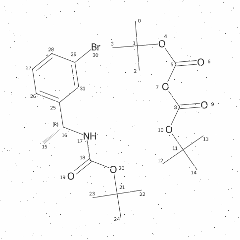 CC(C)(C)OC(=O)OC(=O)OC(C)(C)C.C[C@@H](NC(=O)OC(C)(C)C)c1cccc(Br)c1